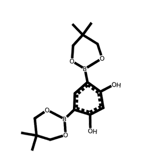 CC1(C)COB(c2cc(B3OCC(C)(C)CO3)c(O)cc2O)OC1